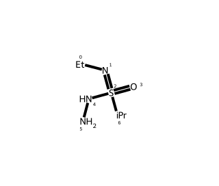 CCN=S(=O)(NN)C(C)C